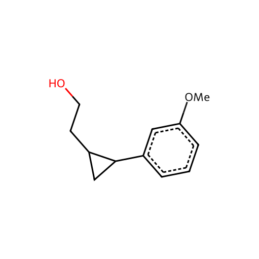 COc1cccc(C2CC2CCO)c1